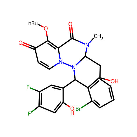 CCCCOc1c2n(ccc1=O)N(C(c1cc(F)c(F)cc1O)c1ccccc1Br)C(CCO)N(C)C2=O